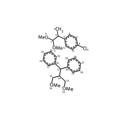 COC(OC)C(C)c1ccc(Cl)cc1.COCC(COC)C(c1ccccc1)c1ccccc1